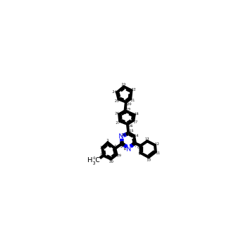 Cc1ccc(-c2nc(C3=CC=CCC3)cc(-c3ccc(-c4ccccc4)cc3)n2)cc1